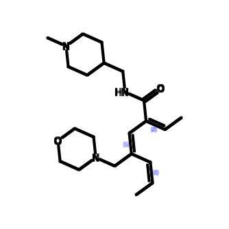 C\C=C/C(=C\C(=C\C)C(=O)NCC1CCN(C)CC1)CN1CCOCC1